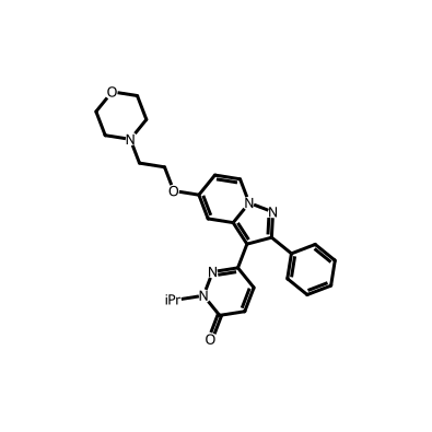 CC(C)n1nc(-c2c(-c3ccccc3)nn3ccc(OCCN4CCOCC4)cc23)ccc1=O